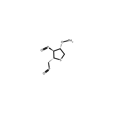 O=PC[C@H]1SC[C@@H](OP)[C@@H]1P=O